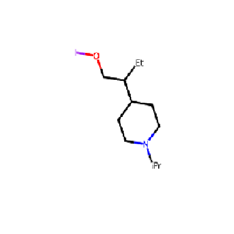 CCC(COI)C1CCN(C(C)C)CC1